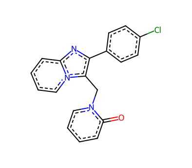 O=c1ccccn1Cc1c(-c2ccc(Cl)cc2)nc2ccccn12